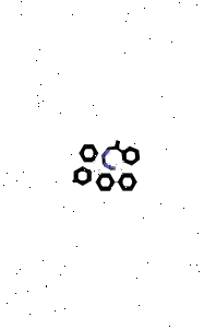 C=C1/C=C\C([Si](c2ccccc2)(c2ccccc2)c2ccc(F)cc2)=C/N(c2ccccc2)c2ccccc21